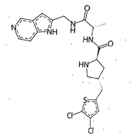 C[C@H](NC(=O)[C@H]1C[C@H](Cc2cc(Cl)c(Cl)s2)CN1)C(=O)NCc1cc2cnccc2[nH]1